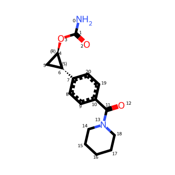 NC(=O)O[C@@H]1C[C@H]1c1ccc(C(=O)N2CCCCC2)cc1